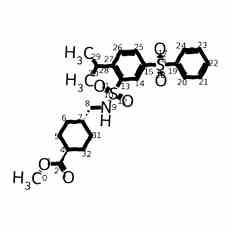 COC(=O)[C@H]1CC[C@H](CNS(=O)(=O)c2cc(S(=O)(=O)c3ccccc3)ccc2C(C)C)CC1